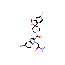 CN(C)C(=O)Cn1c(C(=O)N2CCC3(CC2)OC(=O)c2cc(F)ccc23)cc2cc(Cl)ccc21